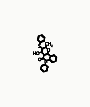 C=C1Oc2c(c(=O)n(-c3ccccc3)c3ccccc23)C(O)=C1Sc1ccccc1